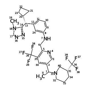 CC(c1cnc(CNc2cccc([C@H](c3nncn3C)C3CCC3)c2)c(C(F)(F)F)c1)N1CCC[C@@H](C(F)(F)F)C1